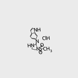 CS(=O)(=O)N1CCNC1=Nc1ccc2cc[nH]c2c1.Cl